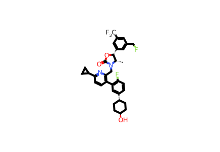 C[C@H]1[C@@H](c2cc(CF)cc(C(F)(F)F)c2)OC(=O)N1Cc1nc(C2CC2)ccc1-c1cc([C@H]2CC[C@H](O)CC2)ccc1F